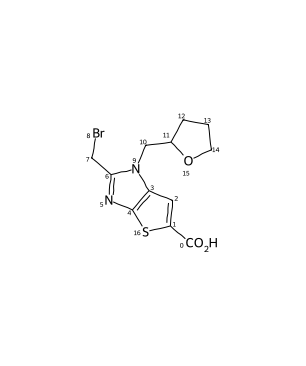 O=C(O)c1cc2c(nc(CBr)n2CC2CCCO2)s1